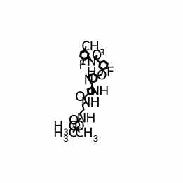 Cc1ccc(F)c(NC(=O)c2ccc(F)c(Oc3ccnc(-c4cc(C(=O)NCCCNC(=O)OC(C)(C)C)c[nH]4)c3)c2)c1